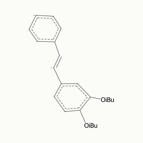 CC(C)COc1ccc([C]=Cc2cc[c]cc2)cc1OCC(C)C